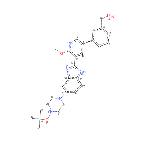 COc1ncc(-c2cccc(CO)c2)cc1-c1nc2cc(N3CCN(OC(C)(C)C)CC3)ccc2[nH]1